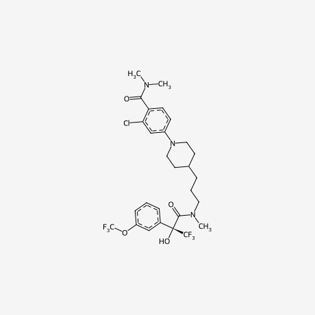 CN(C)C(=O)c1ccc(N2CCC(CCCN(C)C(=O)[C@](O)(c3cccc(OC(F)(F)F)c3)C(F)(F)F)CC2)cc1Cl